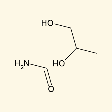 CC(O)CO.NC=O